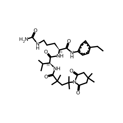 CCc1ccc(NC(=O)[C@H](CCCNC(N)=O)NC(=O)[C@@H](NC(=O)C(C)(C)CC(C)(C)N2C(=O)CC(C)(C)CC2=O)C(C)C)cc1